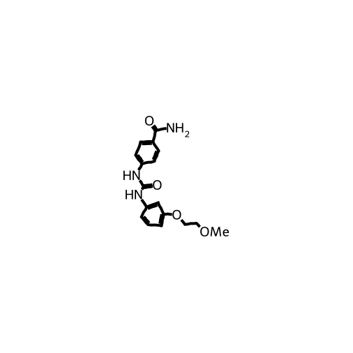 COCCOc1cccc(NC(=O)Nc2ccc(C(N)=O)cc2)c1